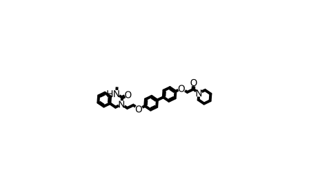 CNC(=O)N(CCOc1ccc(-c2ccc(OCC(=O)N3CCCCC3)cc2)cc1)Cc1ccccc1